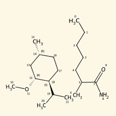 CCCCCC(C)C(N)=O.CO[C@@H]1C[C@H](C)CC[C@H]1C(C)C